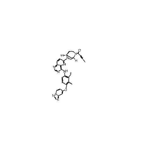 CC#CC(=O)N1CC[C@@H]2C[C@H]1CN2c1ccc2ncnc(Nc3ccc(Oc4ccn5ncnc5c4)c(C)c3F)c2n1